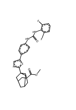 COC(=O)C12CC3CC(C1)CC(c1ncc(-c4ccc(NC(=O)Nc5c(F)cccc5F)cc4)s1)(C3)C2